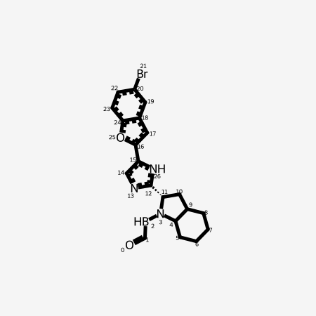 O=CBN1C2CCCCC2C[C@H]1c1ncc(-c2cc3cc(Br)ccc3o2)[nH]1